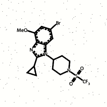 COc1cc(Br)cc2c1nc(C1CC1)n2C1CCN(S(=O)(=O)C(F)(F)F)CC1